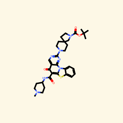 CN1CCC(NC(=O)c2c(=O)c3cnc(N4CCC5(CCN(C(=O)OC(C)(C)C)C5)CC4)nc3n3c2sc2ccccc23)CC1